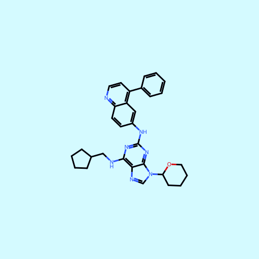 c1ccc(-c2ccnc3ccc(Nc4nc(NCC5CCCC5)c5ncn(C6CCCCO6)c5n4)cc23)cc1